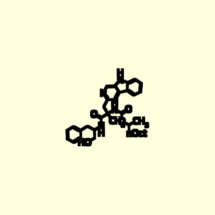 CCCCCCCCC(C)OC(=O)NC(C)(Cc1cc2c(cn1)[nH]c1ccccc12)C(=O)NC(CO)Cc1ccccc1